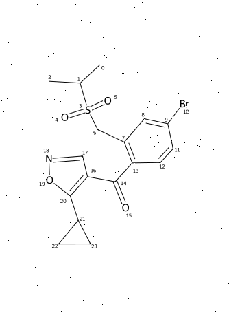 CC(C)S(=O)(=O)Cc1cc(Br)ccc1C(=O)c1cnoc1C1CC1